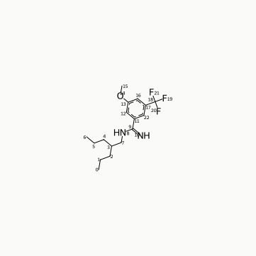 CCCC(CCC)CNC(=N)c1cc(OC)cc(C(F)(F)F)c1